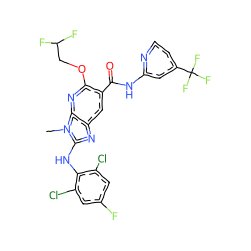 Cn1c(Nc2c(Cl)cc(F)cc2Cl)nc2cc(C(=O)Nc3cc(C(F)(F)F)ccn3)c(OCC(F)F)nc21